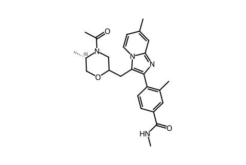 CNC(=O)c1ccc(-c2nc3cc(C)ccn3c2CC2CN(C(C)=O)[C@@H](C)CO2)c(C)c1